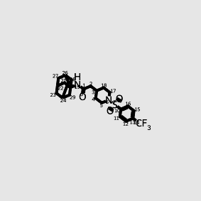 O=C(CC1CCN(S(=O)(=O)c2ccc(C(F)(F)F)cc2)CC1)NC12CC3CC(CC(C3)C1)C2